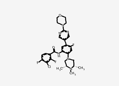 C[C@@H]1CN(c2cc(F)c(-c3cnc(N4CCOCC4)nc3)cc2NC(=O)c2ccc(F)c(Cl)c2F)C[C@H](C)N1C